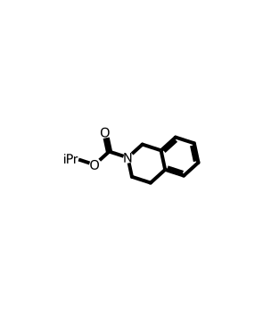 CC(C)OC(=O)N1CCc2ccccc2C1